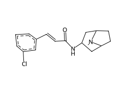 CN1C2CCC1CC(NC(=O)C=Cc1cccc(Cl)c1)C2